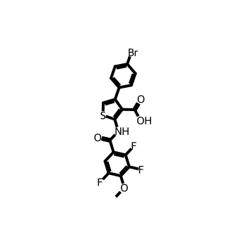 COc1c(F)cc(C(=O)Nc2scc(-c3ccc(Br)cc3)c2C(=O)O)c(F)c1F